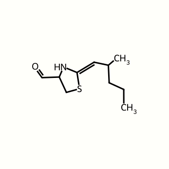 CCCC(C)/C=C1/NC(C=O)CS1